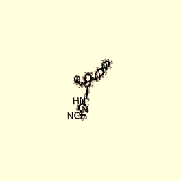 CC(C)(C#N)c1ccc(NCC#Cc2cc3c(CN4CCC(N5CCCC5)CC4)cccc3n2CC2CO2)cn1